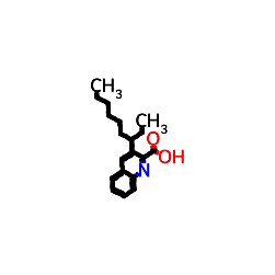 CCCCCCC(CC)c1cc2ccccc2nc1C(=O)O